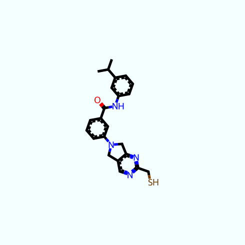 CC(C)c1cccc(NC(=O)c2cccc(N3Cc4cnc(CS)nc4C3)c2)c1